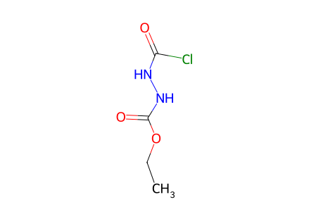 CCOC(=O)NNC(=O)Cl